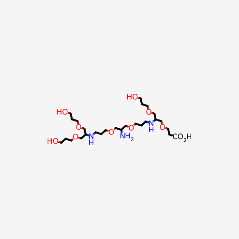 NC(COCCCNC(COCCCO)COCCCO)COCCCNC(COCCCO)COCCC(=O)O